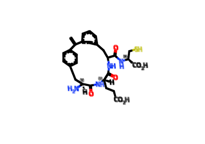 C=C1c2ccc(cc2)C[C@H](N)C(=O)N[C@@H](CCC(=O)O)C(=O)NC(C(=O)N[C@@H](CS)C(=O)O)Cc2cccc1c2